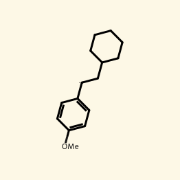 COc1ccc([CH]CC2CCCCC2)cc1